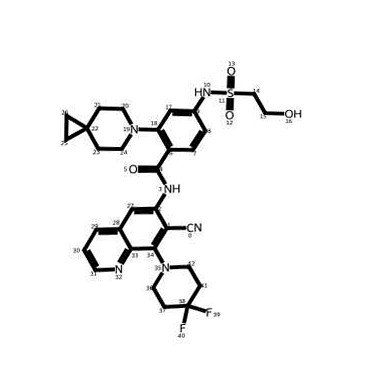 N#Cc1c(NC(=O)c2ccc(NS(=O)(=O)CCO)cc2N2CCC3(CC2)CC3)cc2cccnc2c1N1CCC(F)(F)CC1